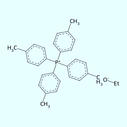 CC[O-].Cc1ccc([P+](c2ccc(C)cc2)(c2ccc(C)cc2)c2ccc(C)cc2)cc1